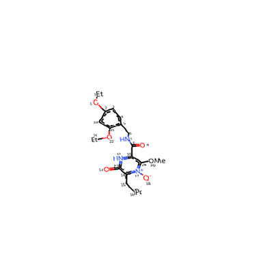 CCOc1ccc(CNC(=O)c2[nH]c(=O)c(CC(C)C)[n+]([O-])c2OC)c(OCC)c1